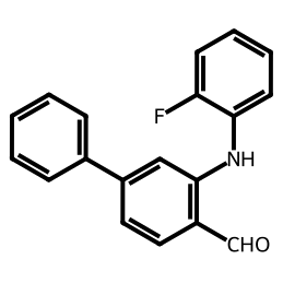 O=Cc1ccc(-c2ccccc2)cc1Nc1ccccc1F